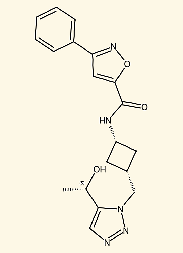 C[C@H](O)c1cnnn1C[C@H]1C[C@@H](NC(=O)c2cc(-c3ccccc3)no2)C1